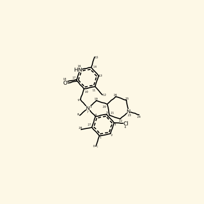 [CH]c1cc(Cl)cc([N+](C)(Cc2c(C)cc(C)[nH]c2=O)CC2CCN(C)CC2)c1C